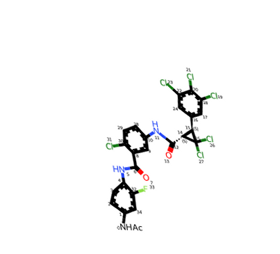 CC(=O)Nc1ccc(NC(=O)c2cc(NC(=O)[C@@H]3[C@@H](c4cc(Cl)c(Cl)c(Cl)c4)C3(Cl)Cl)ccc2Cl)c(F)c1